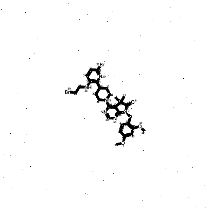 COc1ccc(CN2C(=O)C(C)(C)c3c(N4CCC(c5nc(Br)ccc5NCCBr)CC4)ncnc32)c(OC)c1